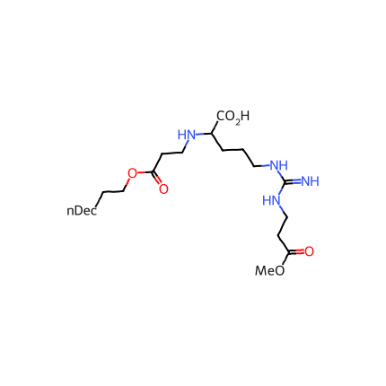 CCCCCCCCCCCCOC(=O)CCNC(CCCNC(=N)NCCC(=O)OC)C(=O)O